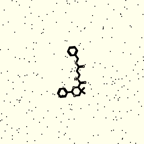 CC1(C)COC(c2ccccc2)OC1C(=O)NCCC(=O)OCc1ccccc1